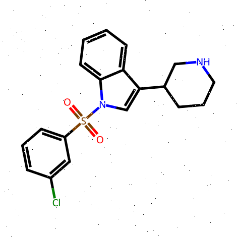 O=S(=O)(c1cccc(Cl)c1)n1cc(C2CCCNC2)c2ccccc21